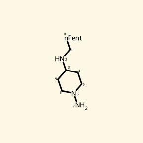 CCCCCCNC1CCN(N)CC1